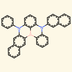 c1ccc(N2c3cc4ccccc4cc3B3c4ccccc4N(c4ccc5ccccc5c4)c4cccc2c43)cc1